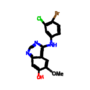 COc1cc2c(Nc3ccc(Br)c(Cl)c3)ncnc2cc1O